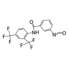 O=C=Nc1cccc(C(=O)Nc2ccc(C(F)(F)F)cc2C(F)(F)F)c1